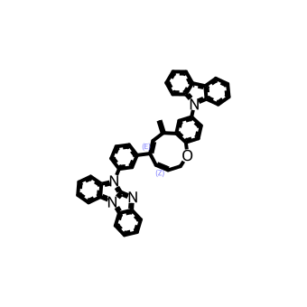 C=C1/C=C(c2cccc(-n3c4ccccc4n4c5ccccc5nc34)c2)\C=C/COc2ccc(-n3c4ccccc4c4ccccc43)cc21